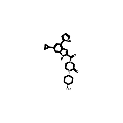 Cn1c(C(=O)N2CCN([C@H]3CC[C@H](O)CC3)C(=O)C2)nc2c(-c3ccc[nH]3)cc(C3CC3)cc21